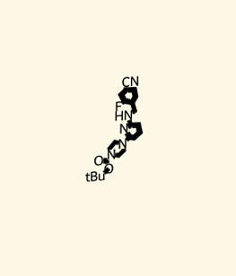 CC(C)(C)OC(=O)N1CCN(c2cccc(NCc3ccc(C#N)cc3F)n2)CC1